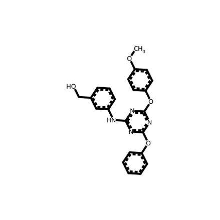 COc1ccc(Oc2nc(Nc3cccc(CO)c3)nc(Oc3ccccc3)n2)cc1